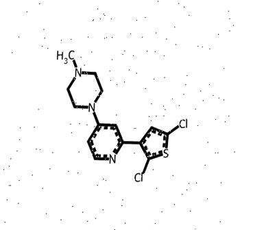 CN1CCN(c2ccnc(-c3cc(Cl)sc3Cl)c2)CC1